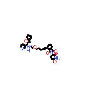 O=C1CCC(N2C(=O)c3cccc(C#CCCCOCCNC(c4cccnc4)c4cc5ccccc5o4)c3C2=O)C(=O)N1